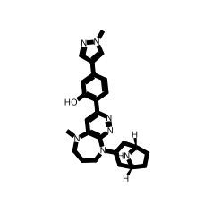 CN1CCCN(C2C[C@H]3CC[C@@H](C2)N3)c2nnc(-c3ccc(-c4cnn(C)c4)cc3O)cc21